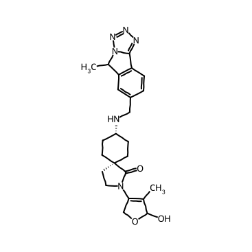 CC1=C(N2CC[C@]3(CC[C@@H](NCc4ccc5c(c4)C(C)n4nnnc4-5)CC3)C2=O)COC1O